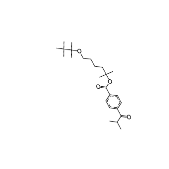 CC(C)C(=O)c1ccc(C(=O)OC(C)(C)CCCCOC(C)(C)C(C)(C)C)cc1